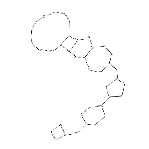 C1CCCCC2C(CCCC1)C1SC3CCC(CC4CCC(C5CCC(CC6CCC6)CC5)C4)CCC3SC21